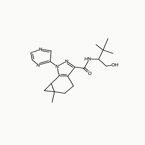 CC(C)(C)C(CO)NC(=O)c1nn(-c2cnccn2)c2c1CCC1(C)CC21